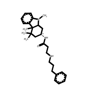 CN1c2ccccc2C2(C)C1C[C@H](NC(=O)CCNCCCc1ccccc1)CC2(C)C